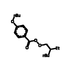 CCCCOc1ccc(C(=O)OO[CH]C(CC)CCCC)cc1